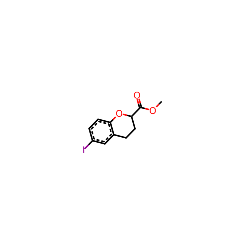 COC(=O)C1CCc2cc(I)ccc2O1